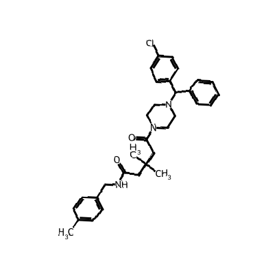 Cc1ccc(CNC(=O)CC(C)(C)CC(=O)N2CCN(C(c3ccccc3)c3ccc(Cl)cc3)CC2)cc1